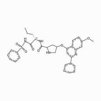 CCC[C@H](NC(=O)C1CC(Oc2cc(-c3ccccc3)nc3cc(OC)ccc23)CN1)C(=O)NS(=O)(=O)c1ccccc1